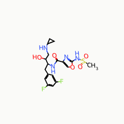 CS(=O)(=O)Nc1nc(C(=O)NC(Cc2cc(F)cc(F)c2)C(O)CNC2CC2)co1